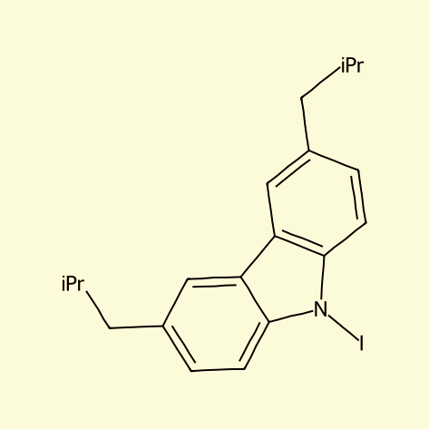 CC(C)Cc1ccc2c(c1)c1cc(CC(C)C)ccc1n2I